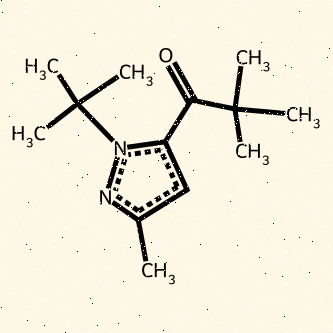 Cc1cc(C(=O)C(C)(C)C)n(C(C)(C)C)n1